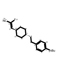 CCCCc1ccc(CC[C@H]2CC[C@H](C=C(F)C#N)CC2)cc1